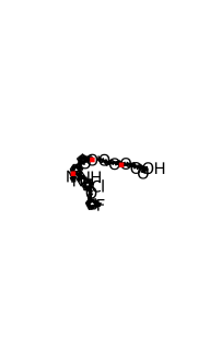 O=C(O)COCCOCCOCCOCCOCc1ccc(-c2ccc3ncnc(Nc4ccc(OCc5cccc(F)c5)c(Cl)c4)c3c2)o1